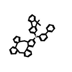 CC1(C)c2ccccc2-c2ccc(N(c3cccc(-c4ccccc4)c3)c3ccc4c(c3)Cc3ccccc3-c3ccccc3Cc3ccccc3-4)cc21